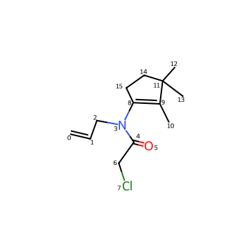 C=CCN(C(=O)CCl)C1=C(C)C(C)(C)CC1